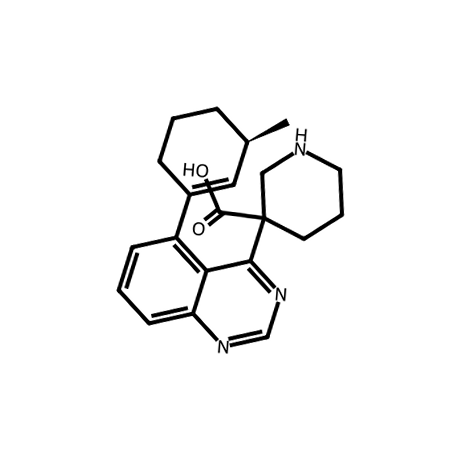 C[C@H]1C=C(c2cccc3ncnc(C4(C(=O)O)CCCNC4)c23)CCC1